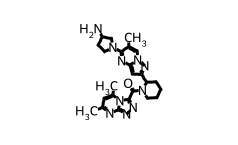 Cc1cc(C)n2c(C(=O)N3CCCCC3c3cc4nc(N5CCC(N)C5)c(C)cn4n3)nnc2n1